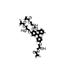 C=C(C)C(=O)OCCNC(=O)OCc1ccccc1C(c1ccc(OCC(O)COC(=O)C(=C)C)cc1)c1ccc(OCC(O)COC(=O)C(=C)C)cc1